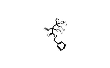 CCC(C)(C)CC(C)(C(=O)OCc1ccccc1)C(C)(C)C